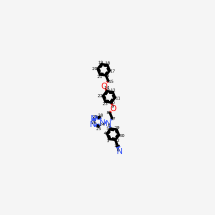 N#Cc1ccc(N(CCOc2ccc(OCc3ccccc3)cc2)n2cnnc2)cc1